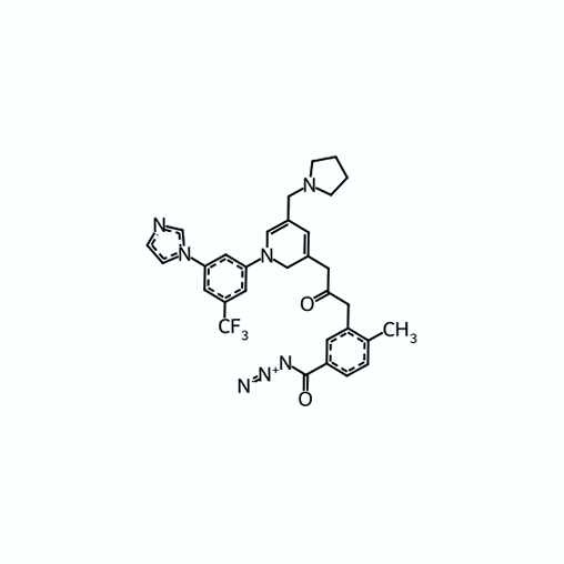 Cc1ccc(C(=O)N=[N+]=[N-])cc1CC(=O)CC1=CC(CN2CCCC2)=CN(c2cc(-n3ccnc3)cc(C(F)(F)F)c2)C1